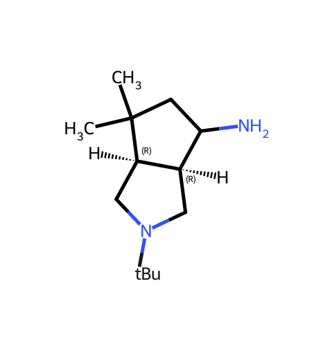 CC1(C)CC(N)[C@H]2CN(C(C)(C)C)C[C@H]21